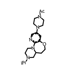 CC(=O)N1CCN(c2cnc3c(c2)OCCC2CN(C(C)C)CCN32)CC1